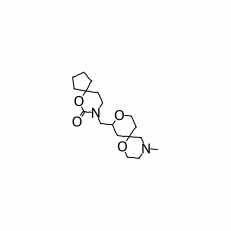 CN1CCOC2(CCOC(CN3CCC4(CCCC4)OC3=O)C2)C1